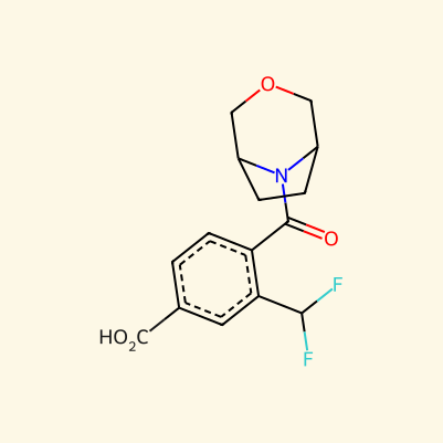 O=C(O)c1ccc(C(=O)N2C3CCC2COC3)c(C(F)F)c1